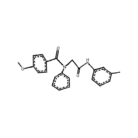 COc1ccc(C(=O)N(CC(=O)Nc2cccc(C)c2)c2ccccc2)cc1